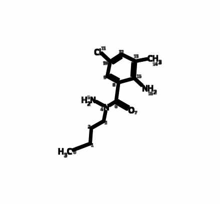 CCCCN(N)C(=O)c1cc(Cl)cc(C)c1N